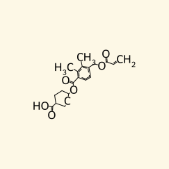 C=CC(=O)OCc1ccc(C(=O)OC2CCC(C(=O)O)CC2)c(C)c1C